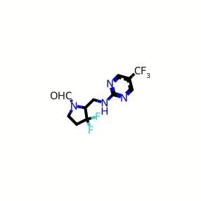 O=CN1CCC(F)(F)C1CNc1ncc(C(F)(F)F)cn1